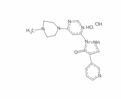 CN1CCN(c2cc(-n3[nH]cc(-c4cccnc4)c3=O)ncn2)CC1.Cl.Cl